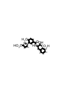 Cc1ccc(C(=O)NC(Cc2ccccc2)C(O)C(=O)O)cc1-n1ccc(C(=O)O)n1